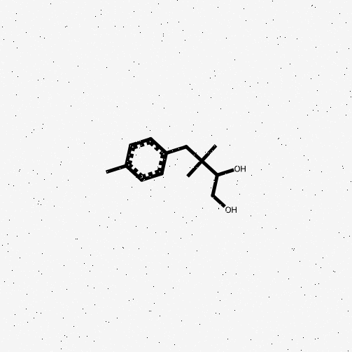 Cc1ccc(CC(C)(C)C(O)CO)cc1